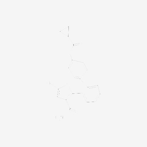 NC(=O)c1cc(Cl)sc1-c1ccccc1-c1ccc(OC(=O)C2CC2)cc1